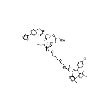 Cc1ncsc1-c1ccc([C@H](C)NC(=O)[C@@H]2C[C@@H](OC(=O)CC(C)(C)C)CN2C[C@](C=O)(NC(=O)COCCCOCCNC(=O)C[C@@H]2N=C(c3ccc(Cl)cc3)c3c(sc(C)c3C)-n3c(C)nnc32)C(C)(C)C)cc1